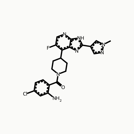 Cn1cc(-c2nc3c(C4CCN(C(=O)c5ccc(Cl)cc5N)CC4)c(F)cnc3[nH]2)cn1